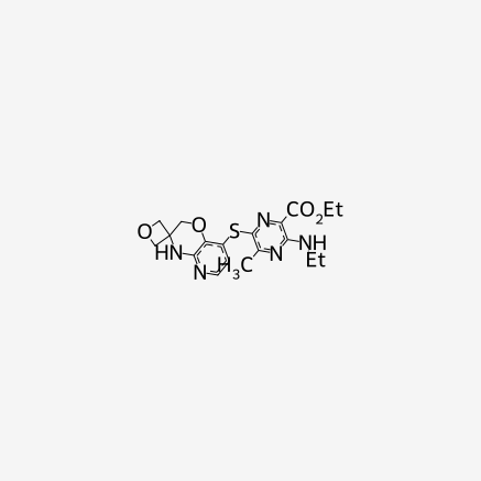 CCNc1nc(C)c(Sc2ccnc3c2OCC2(COC2)N3)nc1C(=O)OCC